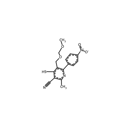 COCOCc1c(-c2ccc([N+](=O)[O-])cc2)nc(C)c(C#N)c1S